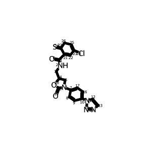 O=C(NCC1CN(c2ccc(-n3ccnn3)cc2)C(=O)O1)C1=CC(Cl)=CCC1=S